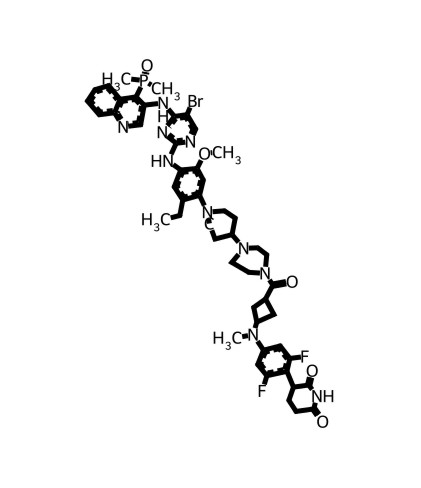 CCc1cc(Nc2ncc(Br)c(Nc3cnc4ccccc4c3P(C)(C)=O)n2)c(OC)cc1N1CCC(N2CCN(C(=O)C3CC(N(C)c4cc(F)c(C5CCC(=O)NC5=O)c(F)c4)C3)CC2)CC1